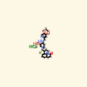 Cl.Cl.O=c1ccc2ccc(F)c3c2n1CCC3CN1CC[C@H](NCc2cc3c(cn2)OCCO3)[C@H](O)C1